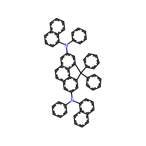 c1ccc(N(c2cc3c4c(ccc5cc(N(c6ccccc6)c6cccc7ccccc67)cc(c54)C3(c3ccccc3)c3ccccc3)c2)c2cccc3ccccc23)cc1